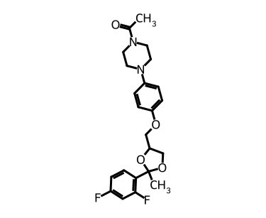 CC(=O)N1CCN(c2ccc(OCC3COC(C)(c4ccc(F)cc4F)O3)cc2)CC1